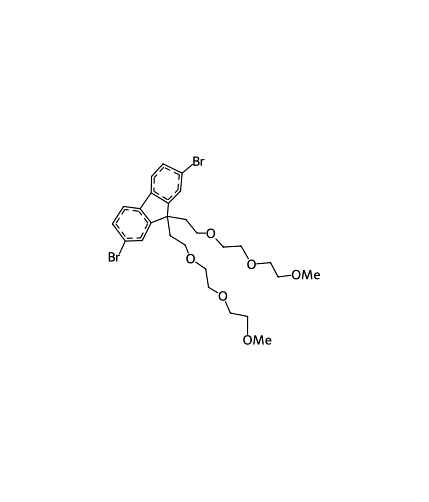 COCCOCCOCCC1(CCOCCOCCOC)c2cc(Br)ccc2-c2ccc(Br)cc21